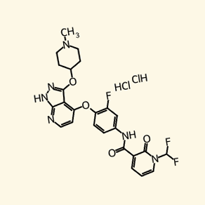 CN1CCC(Oc2n[nH]c3nccc(Oc4ccc(NC(=O)c5cccn(C(F)F)c5=O)cc4F)c23)CC1.Cl.Cl